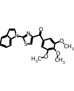 COc1cc(C(=O)c2csc(-n3ccc4ccccc43)n2)cc(OC)c1OC